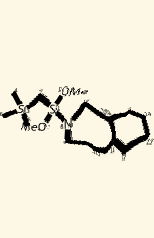 CO[Si](C[Si](C)(C)C)(OC)N1CCC2CCCCC2C1